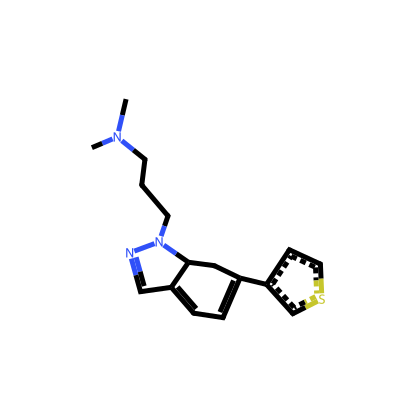 CN(C)CCCN1N=CC2=CC=C(c3ccsc3)CC21